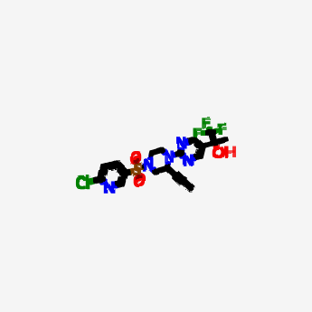 CC#CC1CN(S(=O)(=O)c2ccc(Cl)nc2)CCN1c1ncc(C(C)(O)C(F)(F)F)cn1